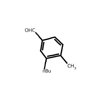 CCCCc1cc(C=O)ccc1C